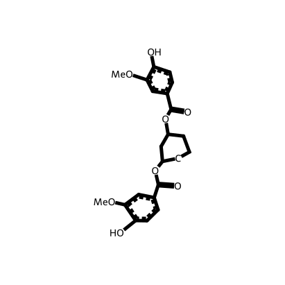 COc1cc(C(=O)OC2CCCC(OC(=O)c3ccc(O)c(OC)c3)C2)ccc1O